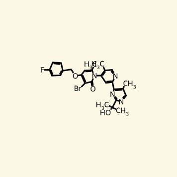 Cc1cnc(-c2nc(C(C)(C)O)ncc2C)cc1-n1c(C)cc(OCc2ccc(F)cc2)c(Br)c1=O